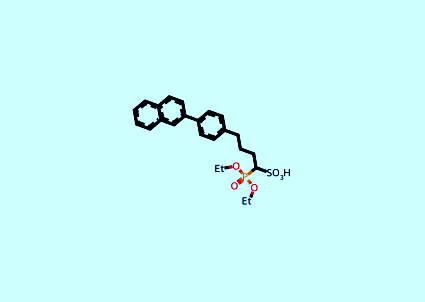 CCOP(=O)(OCC)C(CCCc1ccc(-c2ccc3ccccc3c2)cc1)S(=O)(=O)O